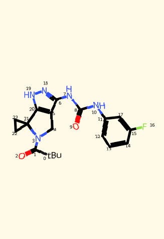 CC(C)(C)C(=O)N1Cc2c(NC(=O)Nc3cccc(F)c3)n[nH]c2C12CC2